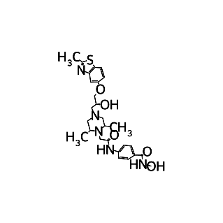 Cc1nc2cc(OC[C@@H](O)CN3CC(C)N(CC(=O)Nc4ccc(C(=O)NO)cc4)C(C)C3)ccc2s1